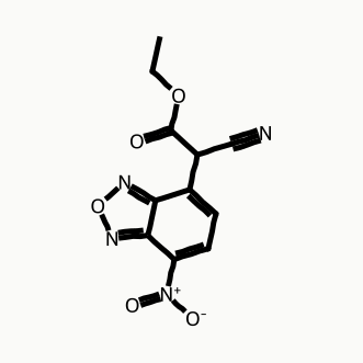 CCOC(=O)C(C#N)c1ccc([N+](=O)[O-])c2nonc12